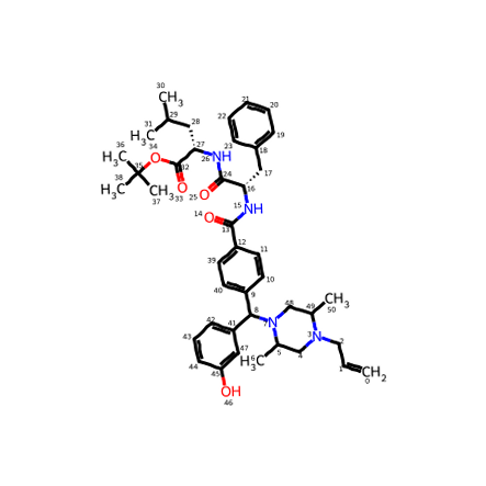 C=CCN1CC(C)N(C(c2ccc(C(=O)N[C@@H](Cc3ccccc3)C(=O)N[C@@H](CC(C)C)C(=O)OC(C)(C)C)cc2)c2cccc(O)c2)CC1C